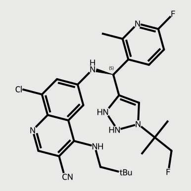 Cc1nc(F)ccc1[C@H](Nc1cc(Cl)c2ncc(C#N)c(NCC(C)(C)C)c2c1)C1=CN(C(C)(C)CF)NN1